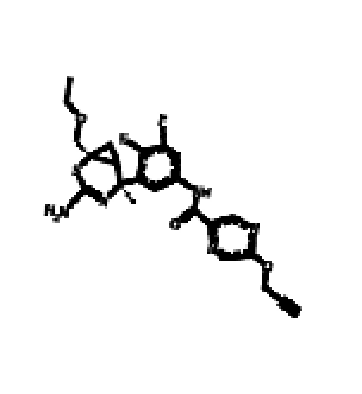 C#CCOc1cnc(C(=O)Nc2cc(F)c(F)c([C@@]3(C)N=C(N)S[C@@]4(COCC)CC43)c2)cn1